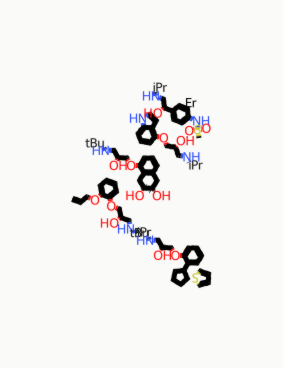 C=CCOc1ccccc1OCC(O)CNC(C)C.CC(C)(C)NCC(O)COc1cccc2c1C[C@H](O)[C@H](O)C2.CC(C)(C)NC[C@H](O)COc1ccccc1C1CCCC1.CC(C)NCC(O)COc1cccc2[nH]ccc12.CC(C)NCC(O)c1ccc(NS(C)(=O)=O)cc1.[Er].c1ccsc1